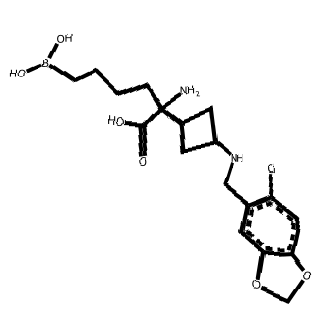 NC(CCCCB(O)O)(C(=O)O)C1CC(NCc2cc3c(cc2Cl)OCO3)C1